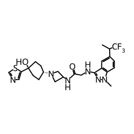 CC(c1ccc2c(c1)c(NCC(=O)NC1CN([C@H]3CC[C@@](O)(c4cncs4)CC3)C1)nn2C)C(F)(F)F